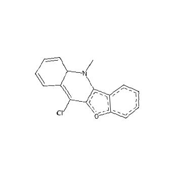 CN1c2c(oc3ccccc23)C(Cl)=C2C=CC=CC21